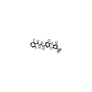 O=C(NC(=O)c1c(F)cccc1F)Nc1cc(Cl)c(Oc2ccc([N+](=O)[O-])cc2Cl)c(Cl)c1